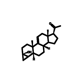 CC(=O)[C@H]1CCC2[C@@H]3CC[C@H]4C5C[C@@]5(O)CC[C@]4(C)C3=CC[C@@]21C